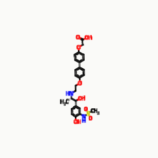 C[C@H](NCCOc1ccc(-c2ccc(OCC(=O)O)cc2)cc1)[C@@H](O)c1ccc(O)c(NS(C)(=O)=O)c1